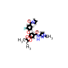 C[C@@H](O)[C@@H](C)Oc1cc(Oc2ccc(C(=O)N3CCC3)cc2F)cc(C(=O)Nc2ccn(C)n2)c1